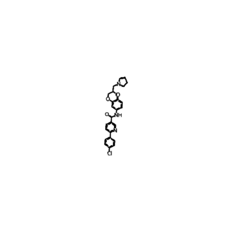 O=C(Nc1ccc2c(c1)OCC(CN1CCCC1)O2)c1ccc(-c2ccc(Cl)cc2)nc1